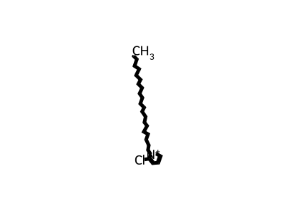 CCCCCCCCCCCCCCCCCCCCCC[n+]1ccccc1Cl